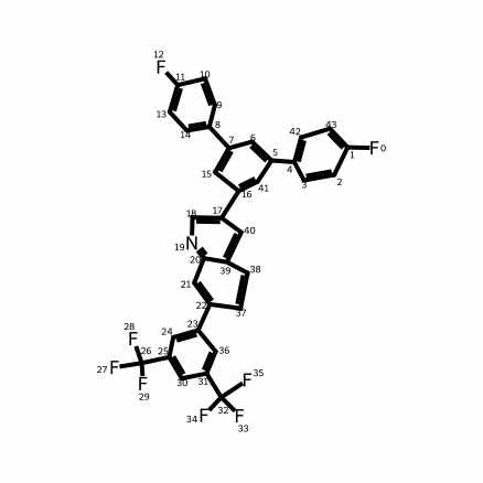 Fc1ccc(-c2cc(-c3ccc(F)cc3)cc(-c3cnc4cc(-c5cc(C(F)(F)F)cc(C(F)(F)F)c5)ccc4c3)c2)cc1